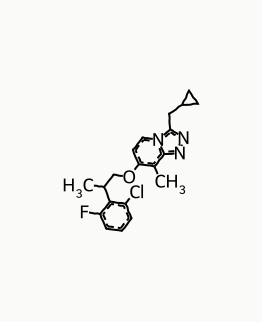 Cc1c(OCC(C)c2c(F)cccc2Cl)ccn2c(CC3CC3)nnc12